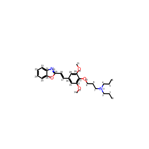 CCCN(CCC)CCCOc1c(OC)cc(C=Cc2nc3ccccc3o2)cc1OC